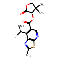 CO[C@H](C)c1c(C(=O)O[C@H]2C(=O)OCC2(C)C)cnc2sc(C)nc12